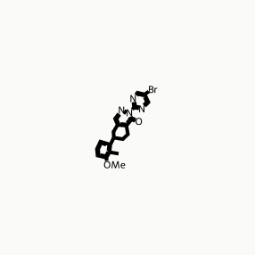 COc1cccc(C2CCc3c(cnn(-c4ncc(Br)cn4)c3=O)C2)c1C